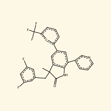 CC1(Cc2cc(F)cc(F)c2)C(=O)Nc2c(-c3cccnc3)cc(-c3cccc(C(F)(F)F)c3)cc21